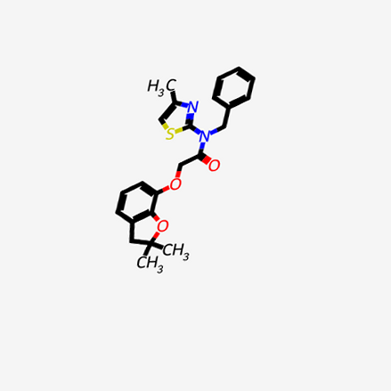 Cc1csc(N(Cc2ccccc2)C(=O)COc2cccc3c2OC(C)(C)C3)n1